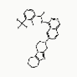 Cc1c([C@@H](C)Nc2nncc3ccc(N4CCn5c(nc6c5CCCC6)C4)cc23)cccc1C(F)(F)F